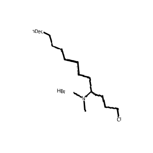 Br.CCCCCCCCCCCCCCCCCC(CCCCl)N(C)C